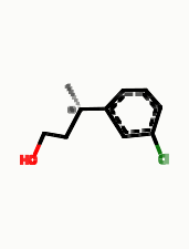 C[C@@H](CCO)c1cccc(Cl)c1